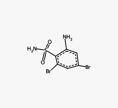 Nc1cc(Br)cc(Br)c1S(N)(=O)=O